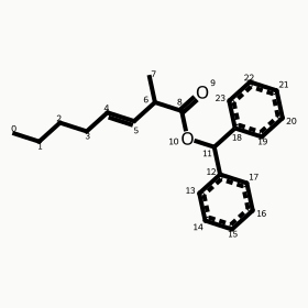 CCCCC=CC(C)C(=O)OC(c1ccccc1)c1ccccc1